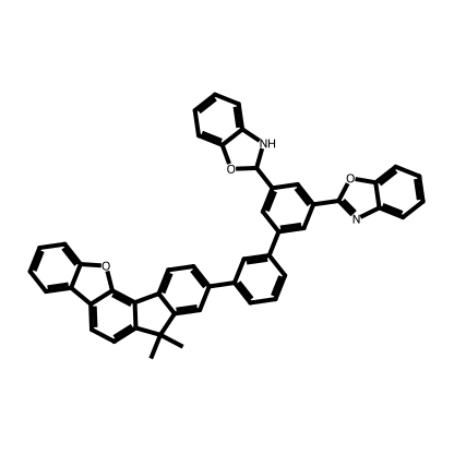 CC1(C)c2cc(-c3cccc(-c4cc(-c5nc6ccccc6o5)cc(C5Nc6ccccc6O5)c4)c3)ccc2-c2c1ccc1c2oc2ccccc21